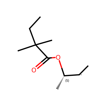 C[CH][C@H](C)OC(=O)C(C)(C)CC